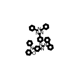 c1ccc(-c2nc(-c3ccccc3)nc(-c3ccc(-n4c(-n5c6ccccc6c6ccccc65)nc5cc6c(cc54)N(c4ccccc4)c4ccccc4O6)cc3)n2)cc1